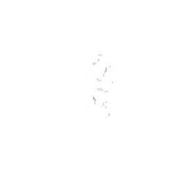 Cc1cc2c(cc1Br)Cc1cc(Br)c(C)cc1-2